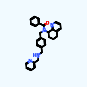 O=C(c1ccccc1)N(Cc1ccc(CNCc2ccccn2)cc1)C1CCCc2cccnc21